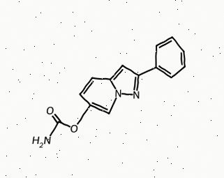 NC(=O)Oc1ccc2cc(-c3ccccc3)nn2c1